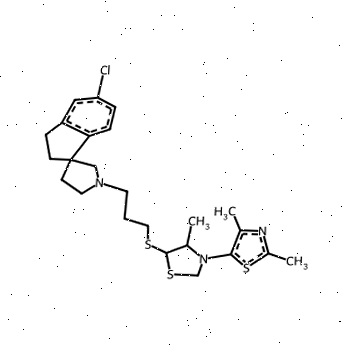 Cc1nc(C)c(N2CSC(SCCCN3CCC4(CCc5cc(Cl)ccc54)C3)C2C)s1